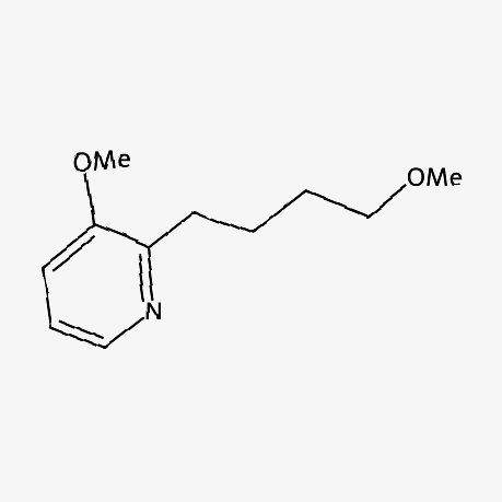 COCCCCc1ncccc1OC